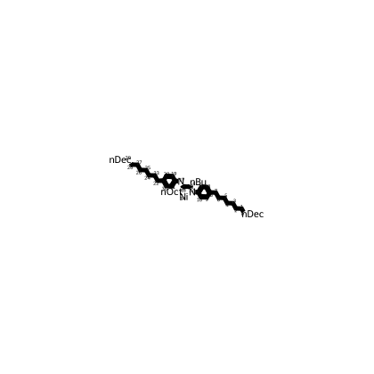 CCCCCCCCCCCCCCCCCc1ccc(/N=C(CCCC)/C(CCCCCCCC)=N/c2ccc(CCCCCCCCCCCCCCCCC)cc2)cc1.[Ni]